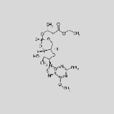 CCOC(=O)C[C@@H](C)OP1(=O)OC[C@H]2O[C@@H](n3cnc4c(OC)nc(N)nc43)[C@](C)(O)[C@@H]2O1